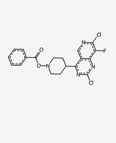 O=C(ON1CCC(c2nc(Cl)nc3c(F)c(Cl)ncc23)CC1)c1ccccc1